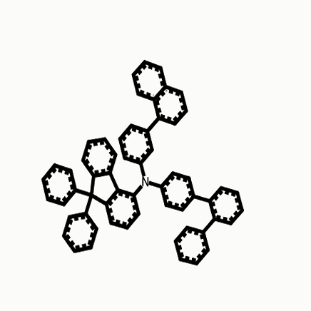 c1ccc(-c2ccccc2-c2ccc(N(c3cccc(-c4cccc5ccccc45)c3)c3cccc4c3-c3ccccc3C4(c3ccccc3)c3ccccc3)cc2)cc1